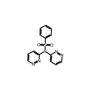 O=S(=O)(c1ccccc1)N(c1cccnn1)c1cccnn1